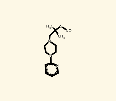 CC(C)(CN1CCN(c2ccccn2)CC1)SN=O